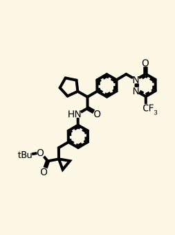 CC(C)(C)OC(=O)C1(Cc2cccc(NC(=O)C(c3ccc(Cn4nc(C(F)(F)F)ccc4=O)cc3)C3CCCC3)c2)CC1